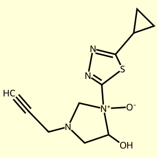 C#CCN1CC(O)[N+]([O-])(c2nnc(C3CC3)s2)C1